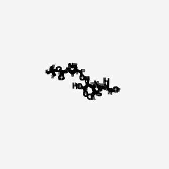 CC(C)(C)OC(=O)n1cc(CON=C(C(=O)O)c2nc(NC=O)sc2Cl)cn1